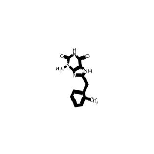 Cc1ccccc1Cc1nc2c([nH]1)c(=O)[nH]c(=O)n2C